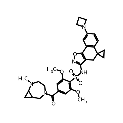 COc1cc(C(=O)N2CCN(C)C3CC3C2)cc(OC)c1S(=O)(=O)Nc1noc2c1CC1(CC1)c1ccc(N3CCC3)cc1-2